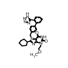 COCCn1c(=O)[nH]c(=O)c2c1nc(C1CCCCC1)n2Cc1ccc(-c2ccccc2-c2nnn[nH]2)cc1